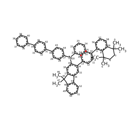 CC1(C)CCC(C)(C)c2c(-c3ccc(-c4cc5c(cc4N(c4ccccc4)c4ccc(-c6ccc(-c7ccccc7)cc6)cc4)C(C)(C)c4ccccc4-5)cc3)cccc21